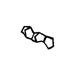 C1CC2C(C1)C1CC2C2C3CCC(C3)C12